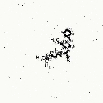 COC(=O)[C@H](C)N(CC(C#N)NCCCC(=O)OC(C)(C)C)C(=O)OCc1ccccc1